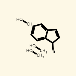 CO.CO.CO.[Ti][CH]1C=Cc2ccccc21